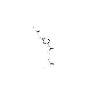 CC(C)COC(=O)CO/N=C(\C(=O)O)c1csc(NC(=O)OC(C)(C)C)c1